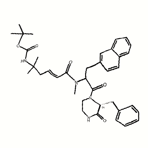 CN(C(=O)C=CCC(C)(C)NC(=O)OC(C)(C)C)C(Cc1ccc2ccccc2c1)C(=O)N1CCNC(=O)[C@H]1Cc1ccccc1